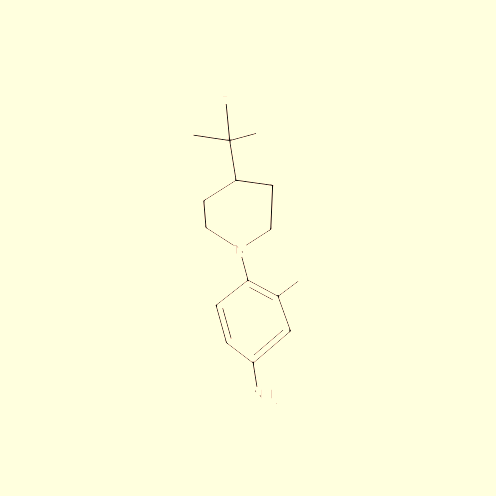 Nc1ccc(N2CCC(C(F)(F)F)CC2)c(Cl)c1